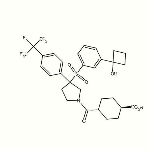 O=C(O)[C@H]1CC[C@H](C(=O)N2CCC(c3ccc(C(F)(C(F)(F)F)C(F)(F)F)cc3)(S(=O)(=O)c3cccc(C4(O)CCC4)c3)C2)CC1